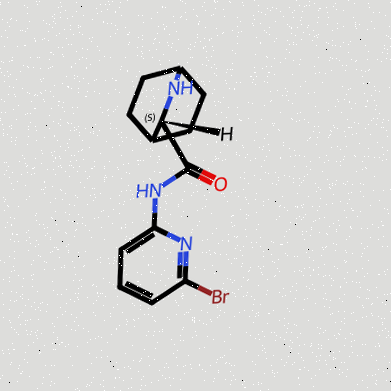 O=C(Nc1cccc(Br)n1)[C@H]1NC2CCC1CC2